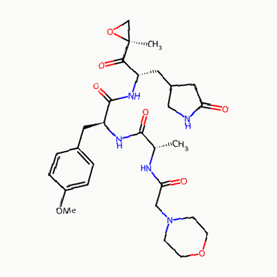 COc1ccc(C[C@H](NC(=O)[C@H](C)NC(=O)CN2CCOCC2)C(=O)N[C@@H](CC2CNC(=O)C2)C(=O)[C@]2(C)CO2)cc1